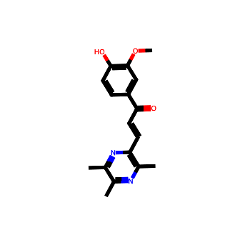 COc1cc(C(=O)/C=C/c2nc(C)c(C)nc2C)ccc1O